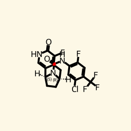 O=C(Nc1cc(Cl)c(C(F)(F)F)cc1F)N1[C@@H]2CC[C@H]1c1c[nH]c(=O)c(F)c1C2